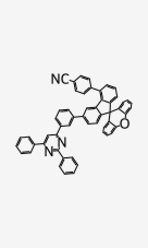 N#Cc1ccc(-c2cccc3c2-c2cc(-c4cccc(-c5cc(-c6ccccc6)nc(-c6ccccc6)n5)c4)ccc2C32c3ccccc3Oc3ccccc32)cc1